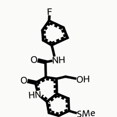 CSc1ccc2[nH]c(=O)c(C(=O)Nc3ccc(F)cc3)c(CO)c2c1